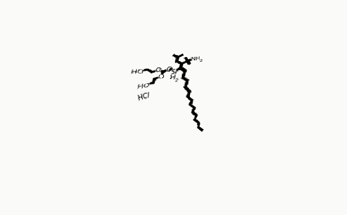 CCCCCCCCCCCCCCCC([SiH2]OC(OCCO)OCCO)C(CC(C)C)C(C)(C)N.Cl